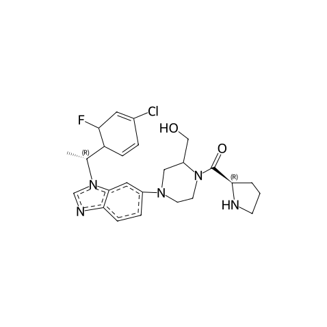 C[C@H](C1C=CC(Cl)=CC1F)n1cnc2ccc(N3CCN(C(=O)[C@H]4CCCN4)C(CO)C3)cc21